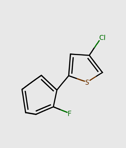 Fc1ccccc1-c1cc(Cl)cs1